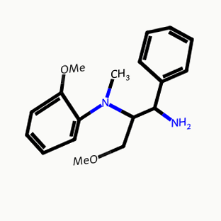 COCC(C(N)c1ccccc1)N(C)c1ccccc1OC